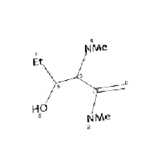 C=C(NC)C(NC)C(O)CC